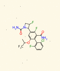 CC(Oc1cc(C2C(F)CN2C(N)=O)c(F)c(C(N)=O)c1-c1c(F)cccc1Cl)C(F)(F)F